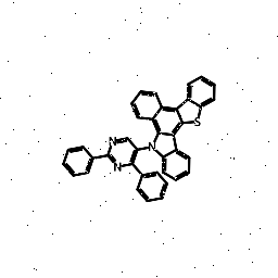 c1ccc(-c2ncc(-n3c4ccccc4c4c5sc6ccccc6c5c5ccccc5c43)c(-c3ccccc3)n2)cc1